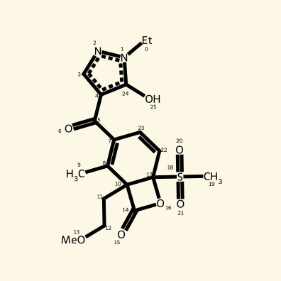 CCn1ncc(C(=O)C2=C(C)C3(CCOC)C(=O)OC3(S(C)(=O)=O)C=C2)c1O